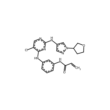 C=CC(=O)Nc1cccc(Nc2nc(Nc3cnn(C4CCOC4)c3)ncc2Cl)c1